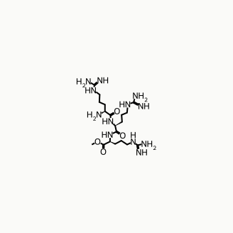 COC(=O)[C@H](CCCNC(=N)N)NC(=O)[C@H](CCCNC(=N)N)NC(=O)[C@@H](N)CCCNC(=N)N